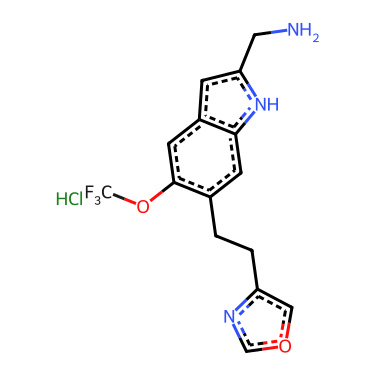 Cl.NCc1cc2cc(OC(F)(F)F)c(CCc3cocn3)cc2[nH]1